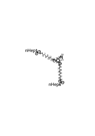 CCCCCCCC(=O)OCCCCCCCCCCOc1cc(CN(C)C)cc(OCCCCCCCCCCOC(=O)CCCCCCC)c1